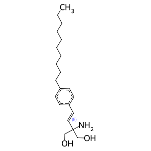 CCCCCCCCCCc1ccc(/C=C/C(N)(CO)CO)cc1